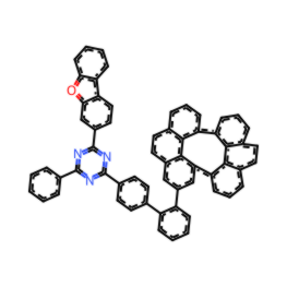 c1ccc(-c2nc(-c3ccc(-c4ccccc4-c4cc5ccc6cccc7c8cccc9ccc%10cccc(c(c4)c5c67)c%10c98)cc3)nc(-c3ccc4c(c3)oc3ccccc34)n2)cc1